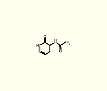 CC(=O)NC1C[C]=NNC1=O